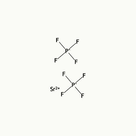 F[P-](F)(F)F.F[P-](F)(F)F.[Sr+2]